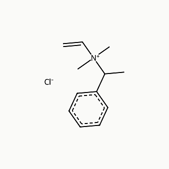 C=C[N+](C)(C)C(C)c1ccccc1.[Cl-]